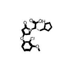 COc1cccc(OC2=CC(=O)N([C@@H](CC3CCCC3)C(=O)O)C2)c1Cl